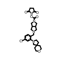 O=C(ON1C(=O)CCC1=O)N1CC2CN(Cc3ccc(Cl)cc3N3CCC4(CCOCC4)C3)CC2C1